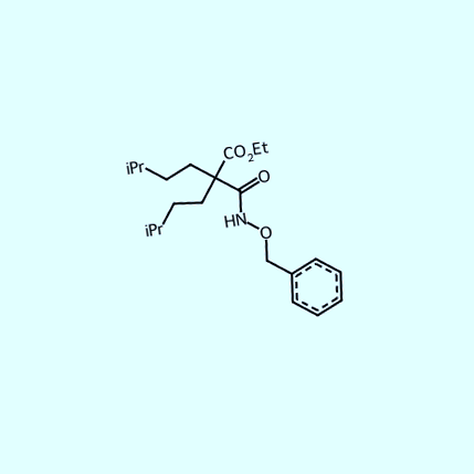 CCOC(=O)C(CCC(C)C)(CCC(C)C)C(=O)NOCc1ccccc1